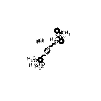 COc1cc(CCN2CCN(CCCCOc3ccccc3C3(C)Sc4ccccc4C(C)[NH+]3[O-])CC2)cc(OC)c1OC.Cl.Cl